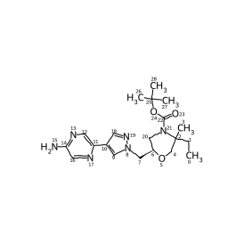 CCC1(C)CO[C@@H](Cn2cc(-c3cnc(N)cn3)cn2)CN1C(=O)OC(C)(C)C